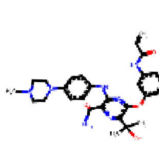 C=CC(=O)Nc1cccc(Oc2nc(Nc3ccc(N4CCN(C)CC4)cc3)c(C(N)=O)nc2C(C)(C)O)c1